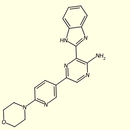 Nc1ncc(-c2ccc(N3CCOCC3)nc2)nc1-c1nc2ccccc2[nH]1